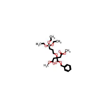 CCO[Si](CCCOC(CC(=O)OC)(CC(=O)OC)C(=O)OCc1ccccc1)(OCC)OCC